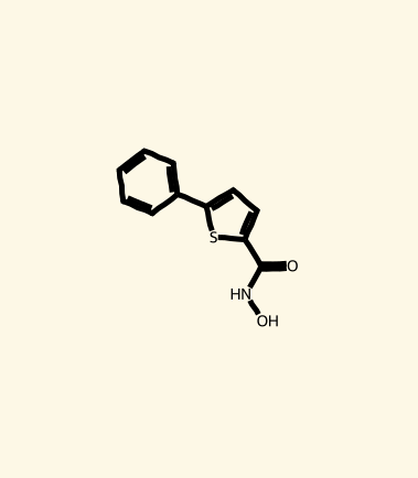 O=C(NO)c1ccc(-c2ccccc2)s1